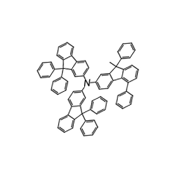 CC1(c2ccccc2)c2cc(N(c3ccc4c(c3)C(c3ccccc3)(c3ccccc3)c3ccccc3-4)c3ccc4c(c3)C(c3ccccc3)(c3ccccc3)c3ccccc3-4)ccc2-c2c(-c3ccccc3)cccc21